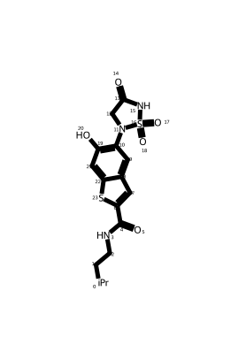 CC(C)CCNC(=O)c1cc2cc(N3CC(=O)NS3(=O)=O)c(O)cc2s1